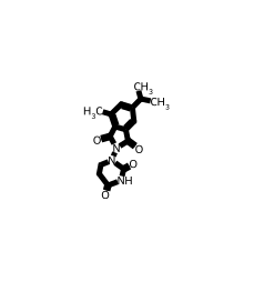 Cc1cc(C(C)C)cc2c1C(=O)N(N1CCC(=O)NC1=O)C2=O